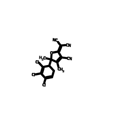 CC1=C(C#N)C(=C(C#N)C#N)OC1(C)C1CC=C(Cl)C(Cl)=C1Cl